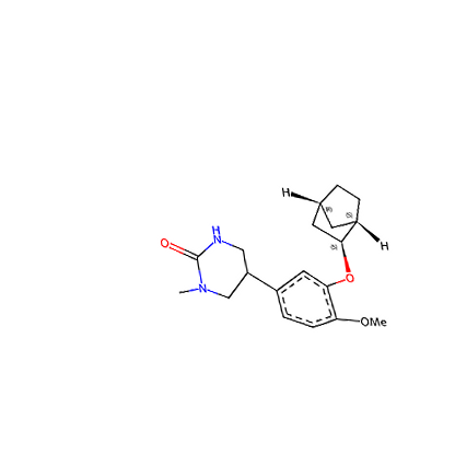 COc1ccc(C2CNC(=O)N(C)C2)cc1O[C@H]1C[C@@H]2CC[C@H]1C2